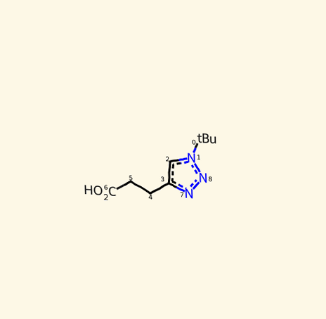 CC(C)(C)n1cc(CCC(=O)O)nn1